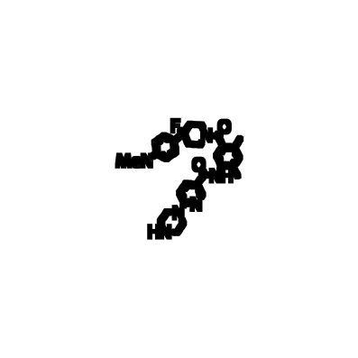 CNc1ccc(C2(F)CCN(C(=O)c3cc(NC(=O)c4ccc(N5CCNCC5)nc4)c(C)cc3C)CC2)cc1